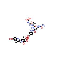 CCc1c2c(nc3ccc(O)cc13)-c1cc3c(c(=O)n1C2)COC(=O)[C@@]3(CC)OC(=O)OCc1ccc(NC(=O)[C@H](CCCNC(N)=O)NC(=O)[C@@H](NC(=O)CN(C)CC(=O)O)C(C)C)cc1